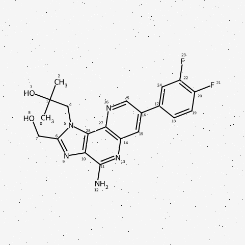 CC(C)(O)Cn1c(CO)nc2c(N)nc3cc(-c4ccc(F)c(F)c4)cnc3c21